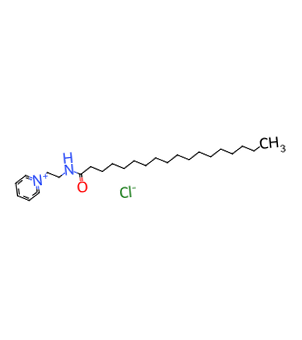 CCCCCCCCCCCCCCCCCC(=O)NCC[n+]1ccccc1.[Cl-]